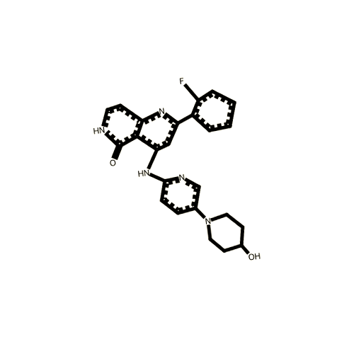 O=c1[nH]ccc2nc(-c3ccccc3F)cc(Nc3ccc(N4CCC(O)CC4)cn3)c12